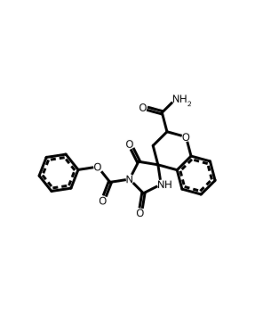 NC(=O)C1CC2(NC(=O)N(C(=O)Oc3ccccc3)C2=O)c2ccccc2O1